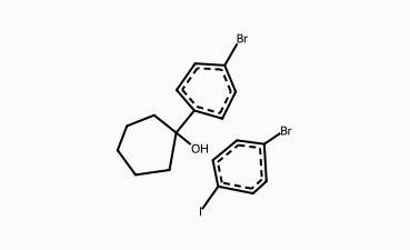 Brc1ccc(I)cc1.OC1(c2ccc(Br)cc2)CCCCC1